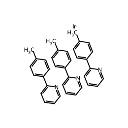 Cc1ccc(-c2ccccn2)cc1.Cc1ccc(-c2ccccn2)cc1.Cc1ccc(-c2ccccn2)cc1.[Ir]